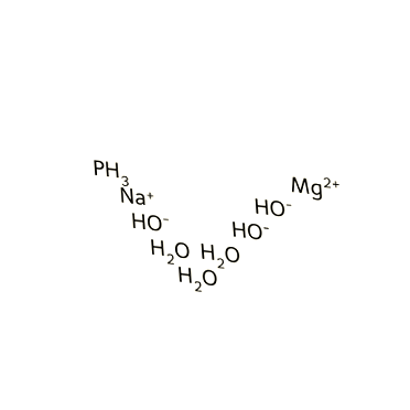 O.O.O.P.[Mg+2].[Na+].[OH-].[OH-].[OH-]